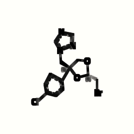 Clc1ccc([C@]2(Cn3cncn3)CO[C@H](CBr)O2)cc1